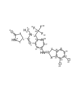 CN(C(=O)[C@@H]1CNC(=O)C1)[C@@H](c1ccc(NC2Cc3ccc(Cl)c(Cl)c3C2)cn1)C(F)(F)F